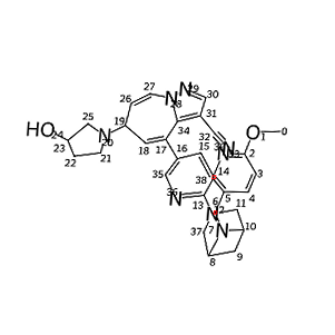 COc1ccc(CN2C3CC2CN(c2ccc(C4=CC(N5CCC(O)C5)C=Cn5ncc(C#N)c54)cn2)C3)cn1